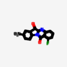 O=C1c2cc([N+](=O)[O-])ccc2-n2c1nc1cccc(F)c1c2=O